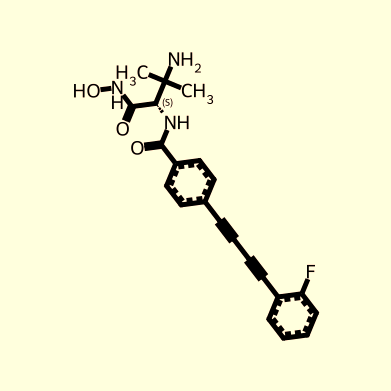 CC(C)(N)[C@H](NC(=O)c1ccc(C#CC#Cc2ccccc2F)cc1)C(=O)NO